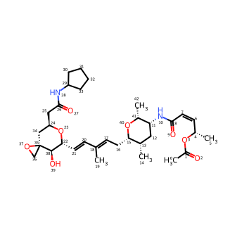 CC(=O)O[C@@H](C)/C=C\C(=O)N[C@@H]1C[C@H](C)[C@H](C/C=C(C)/C=C/[C@H]2O[C@H](CC(=O)NC3CCCC3)C[C@@]3(CO3)[C@@H]2O)O[C@@H]1C